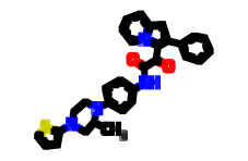 CC1CN(c2cccs2)CCN1c1ccc(NC(=O)C(=O)c2c(-c3ccccc3)cc3ccccn23)cc1